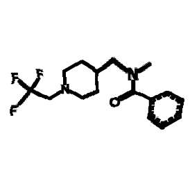 CN(CC1CCN(CC(F)(F)F)CC1)C(=O)c1ccccc1